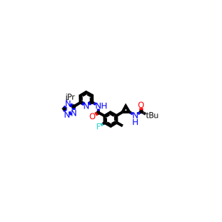 Cc1cc(F)c(C(=O)Nc2cccc(-c3nncn3C(C)C)n2)cc1C1CC1NC(=O)C(C)(C)C